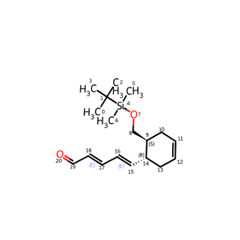 CC(C)(C)[Si](C)(C)OC[C@H]1CC=CC[C@@H]1/C=C/C=C/C=O